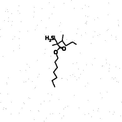 CCCCCCCOC(=O)C(C)([SiH3])C(C)CCC